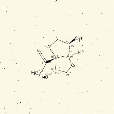 C=C(C(=O)O)[C@@]12OC[C@@H](O)[C@H]1OC[C@@H]2O